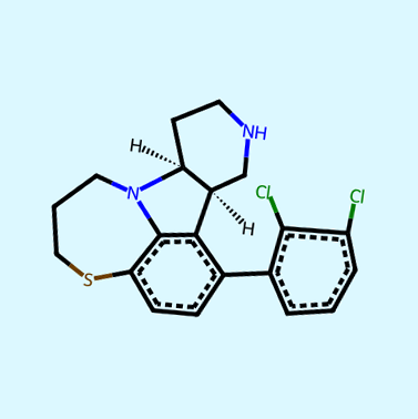 Clc1cccc(-c2ccc3c4c2[C@@H]2CNCC[C@@H]2N4CCCS3)c1Cl